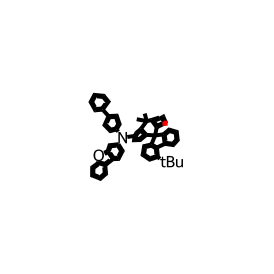 CC(C)(C)c1cccc2c1-c1ccccc1C21c2ccccc2C(C)(C)c2cc(N(c3ccc(-c4ccccc4)cc3)c3ccc4c(c3)oc3ccccc34)ccc21